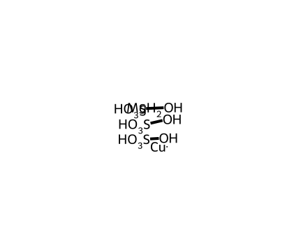 O=S(=O)(O)O.O=S(=O)(O)O.O=S(=O)(O)O.[Cu].[MgH2]